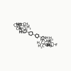 CC(C)(C)[C@H](NC(=O)[C@]1(C)CCCN1)c1nc(-c2ccc(-c3ccc(-c4c[nH]c([C@@H](NC(=O)[C@]5(C)C[C@@H](F)CN5)C(C)(C)C)n4)cc3)cc2)c[nH]1